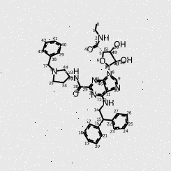 CCNC(=O)[C@H]1O[C@@H](n2cnc3c(NCC(c4ccccc4)c4ccccc4)nc(C(=O)N[C@@H]4CCN(Cc5ccccc5)C4)nc32)[C@H](O)[C@@H]1O